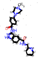 CN1CCN(c2ccc(C(=O)Nc3n[nH]c4ccc(C(=O)NCc5ccccn5)cc34)cc2)CC1